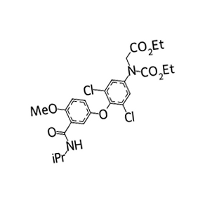 CCOC(=O)CN(C(=O)OCC)c1cc(Cl)c(Oc2ccc(OC)c(C(=O)NC(C)C)c2)c(Cl)c1